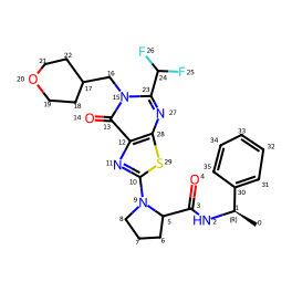 C[C@@H](NC(=O)C1CCCN1c1nc2c(=O)n(CC3CCOCC3)c(C(F)F)nc2s1)c1ccccc1